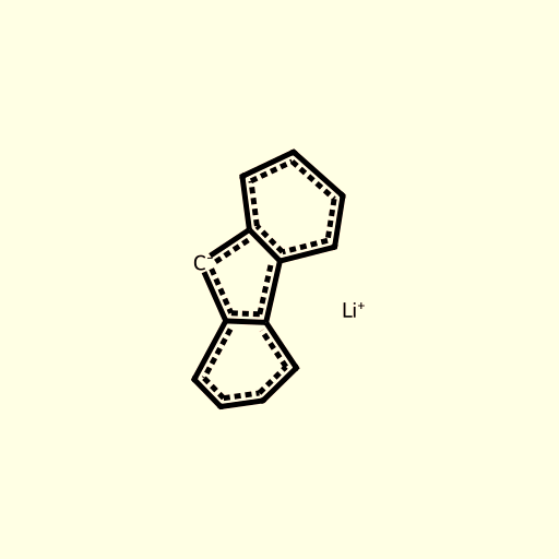 [Li+].c1ccc2c(c1)[cH-]c1ccccc12